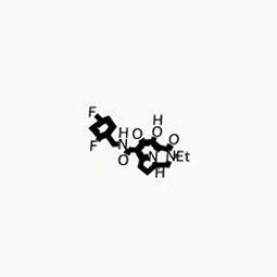 CCN1C[C@@H]2CCc3c(C(=O)NCc4ccc(F)cc4F)c(=O)c(O)c(n32)C1=O